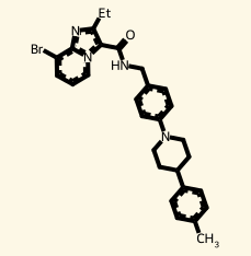 CCc1nc2c(Br)cccn2c1C(=O)NCc1ccc(N2CCC(c3ccc(C)cc3)CC2)cc1